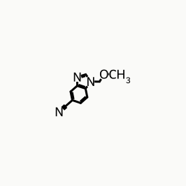 COCn1cnc2cc(C#N)ccc21